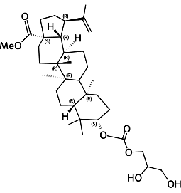 C=C(C)[C@@H]1CC[C@]2(C(=O)OC)CC[C@]3(C)[C@H](CCC4[C@@]5(C)CC[C@H](OC(=O)OCC(O)CO)C(C)(C)[C@@H]5CC[C@]43C)[C@@H]12